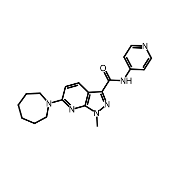 Cn1nc(C(=O)Nc2ccncc2)c2ccc(N3CCCCCC3)nc21